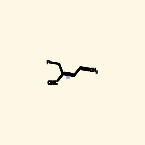 C=C/C=C(/C=O)CF